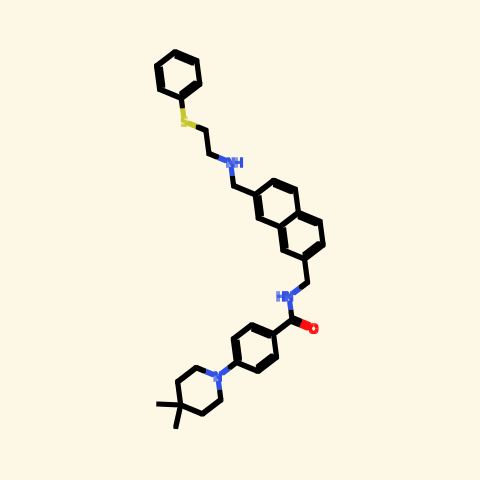 CC1(C)CCN(c2ccc(C(=O)NCc3ccc4ccc(CNCCSc5ccccc5)cc4c3)cc2)CC1